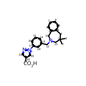 CC1(C)Cc2ccccc2CN(Cc2cccc(-n3cc(C(=O)O)cn3)c2)C1